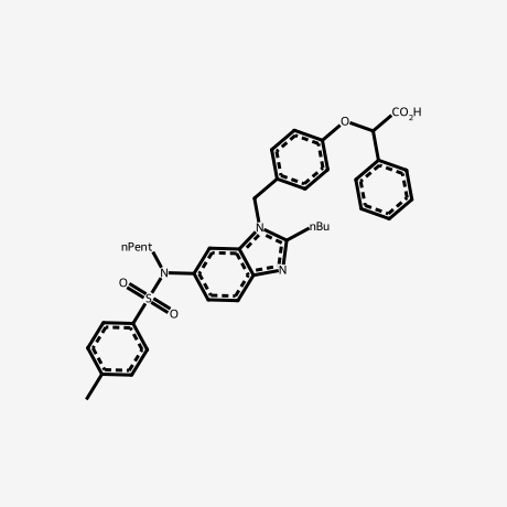 CCCCCN(c1ccc2nc(CCCC)n(Cc3ccc(OC(C(=O)O)c4ccccc4)cc3)c2c1)S(=O)(=O)c1ccc(C)cc1